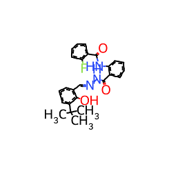 CC(C)(C)c1cccc(C=NNC(=O)c2ccccc2NC(=O)c2ccccc2F)c1O